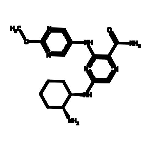 COc1ncc(Nc2nc(N[C@@H]3CCCC[C@@H]3N)cnc2C(N)=O)cn1